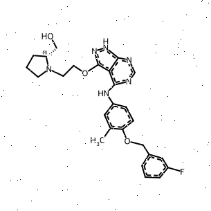 Cc1cc(Nc2ncnc3[nH]nc(OCCN4CCC[C@@H]4CO)c23)ccc1OCc1cccc(F)c1